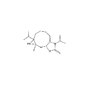 CC(C)N1C(=S)SC2CC3(I)BC3(C(C)C)CCCCC21